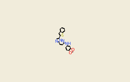 c1ccc2sc(-c3cnc4ccc(Nc5ccc6c(c5)OCO6)nn34)cc2c1